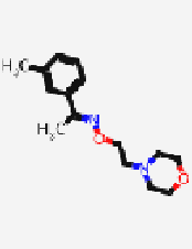 C/C(=N\OCCN1CCOCC1)c1cccc(C)c1